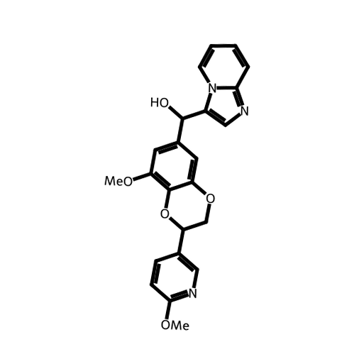 COc1ccc(C2COc3cc(C(O)c4cnc5ccccn45)cc(OC)c3O2)cn1